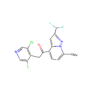 COc1ccc(C(=O)Cc2c(Cl)cncc2Cl)c2cc(C(F)F)nn12